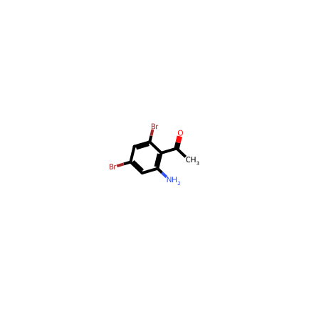 CC(=O)c1c(N)cc(Br)cc1Br